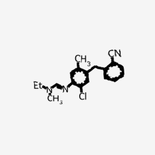 CCN(C)C=Nc1cc(C)c(Cc2ccccc2C#N)cc1Cl